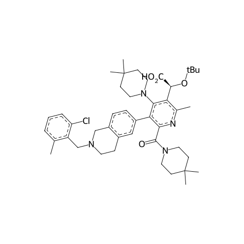 Cc1cccc(Cl)c1CN1CCc2cc(-c3c(C(=O)N4CCC(C)(C)CC4)nc(C)c([C@H](OC(C)(C)C)C(=O)O)c3N3CCC(C)(C)CC3)ccc2C1